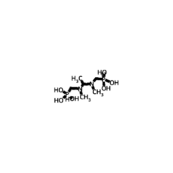 CC(N(C)C[PH](O)(O)O)N(C)C[PH](O)(O)O